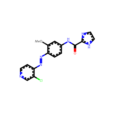 COc1cc(NC(=O)c2ncc[nH]2)ccc1/N=N/c1ccncc1Cl